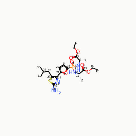 CCOC(=O)[C@H](C)NP(=O)(N[C@@H](C)C(=O)OCC)c1ccc(-c2nc(N)sc2CC(C)C)o1